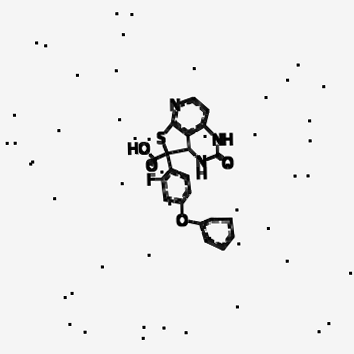 O=C1Nc2ccnc3c2C(N1)C(C(=O)O)(c1ccc(Oc2ccccc2)cc1F)S3